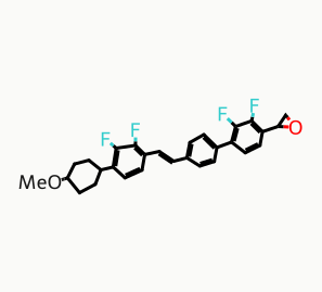 COC1CCC(c2ccc(/C=C/c3ccc(-c4ccc(C5CO5)c(F)c4F)cc3)c(F)c2F)CC1